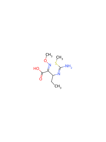 CCC(N=C(N)SC)C(=NOC)C(=O)O